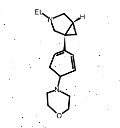 CCN1C[C@@H]2C[C@]2(C2=CCC(N3CCOCC3)C=C2)C1